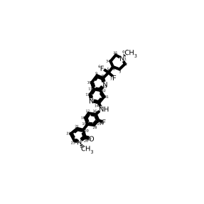 CN1CCC(C(F)(F)c2ccc3cnc(Nc4ccc(-c5cccn(C)c5=O)cc4F)cc3n2)CC1